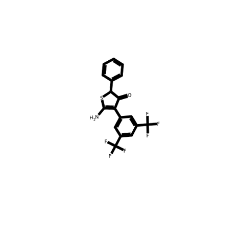 NC1=C(c2cc(C(F)(F)F)cc(C(F)(F)F)c2)C(=O)C(c2ccccc2)S1